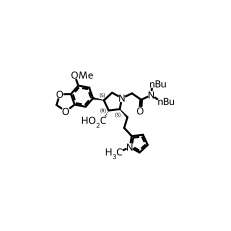 CCCCN(CCCC)C(=O)CN1C[C@H](c2cc(OC)c3c(c2)OCO3)[C@@H](C(=O)O)[C@@H]1CCc1cccn1C